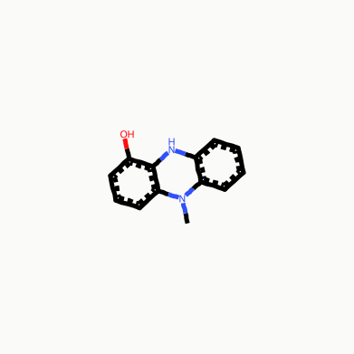 CN1c2ccccc2Nc2c(O)cccc21